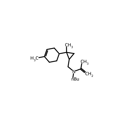 C=C(C)N(CCCC)CC1CC1(C)C1CC=C(C)CC1